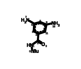 CCCCNC(=O)c1cc(N)cc(N)c1